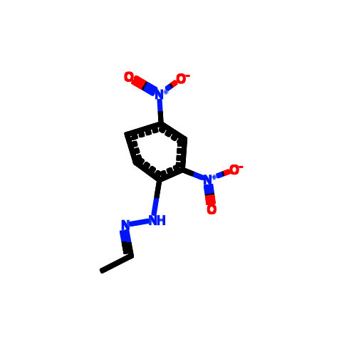 C/C=N/Nc1ccc([N+](=O)[O-])cc1[N+](=O)[O-]